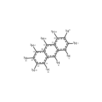 [2H]c1c([2H])c([2H])c2c([2H])c3c([2H])c([2H])c([2H])c([2H])c3c([2H])c2c1[2H]